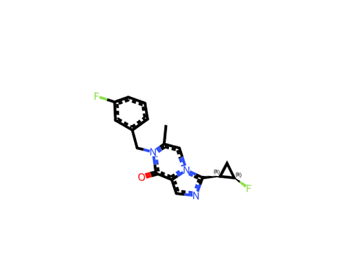 Cc1cn2c([C@H]3C[C@H]3F)ncc2c(=O)n1Cc1cccc(F)c1